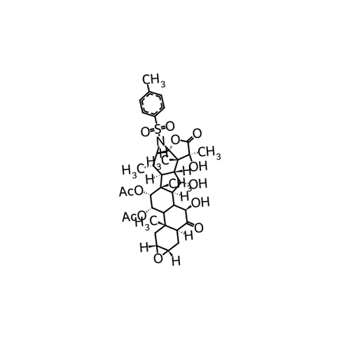 CC(=O)O[C@H]1C2C([C@@H]3[C@@H](O)[C@@H]4[C@H]([C@H](C)[C@H]5N(S(=O)(=O)c6ccc(C)cc6)[C@]56OC(=O)[C@@](C)(O)[C@]46C)[C@@]3(C)[C@H]1OC(C)=O)[C@@H](O)C(=O)[C@H]1C[C@@H]3O[C@@H]3C[C@]21C